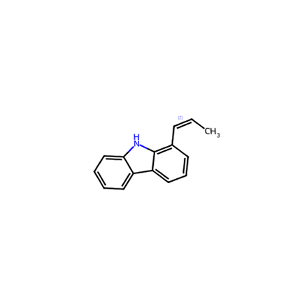 C/C=C\c1cccc2c1[nH]c1ccccc12